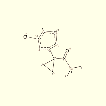 CN(C)C(=O)C1(c2cncc(Cl)c2)CC1